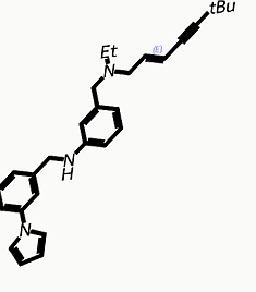 CCN(C/C=C/C#CC(C)(C)C)Cc1cccc(NCc2cccc(-n3cccc3)c2)c1